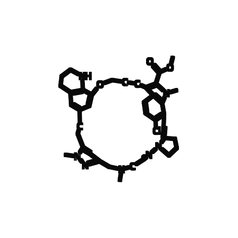 COC(=O)c1c2c3ccc(Cl)c(c3n1C)/C=C1\CCCN1/N=C/CN(C)Cc1cc(n(C)n1)CCc1cc3c(c(c1)OCCC2)NCCC3